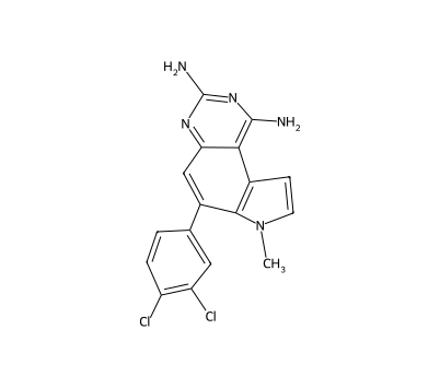 Cn1ccc2c3c(N)nc(N)nc3cc(-c3ccc(Cl)c(Cl)c3)c21